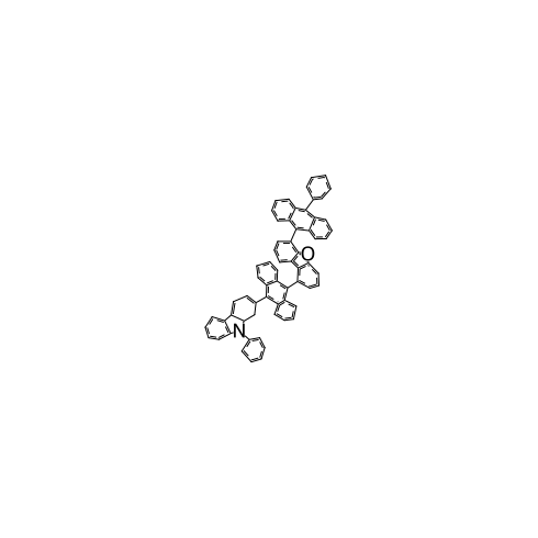 C1=C(c2c3ccccc3c(-c3cccc4oc5c(-c6c7ccccc7c(-c7ccccc7)c7ccccc67)cccc5c34)c3ccccc23)CC2C(=C1)c1ccccc1N2c1ccccc1